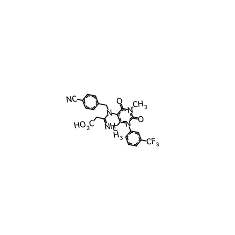 Cc1c(N(Cc2ccc(C#N)cc2)C(=N)CC(=O)O)c(=O)n(C)c(=O)n1-c1cccc(C(F)(F)F)c1